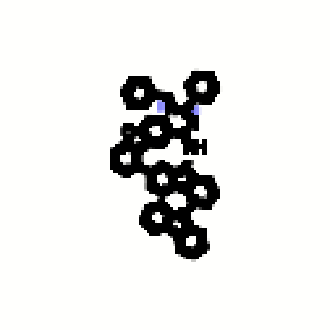 N=C(/N=C(\N=C\c1ccccc1)c1ccccc1)c1ccc2oc3cccc(-c4ccc5c(c4)sc4cccc(-n6c7ccccc7c7ccccc76)c45)c3c2c1